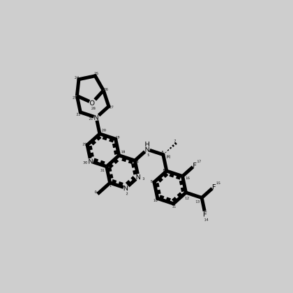 Cc1nnc(N[C@H](C)c2cccc(C(F)F)c2F)c2cc(N3CC4CCC(C3)O4)cnc12